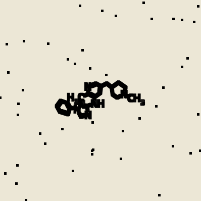 Cc1ncc(CC2CCN(C)CC2)cc1Nc1ncn(-c2ccccc2)n1